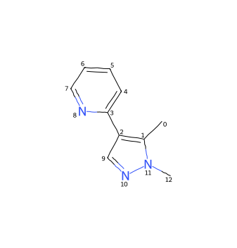 Cc1c(-c2ccccn2)cnn1C